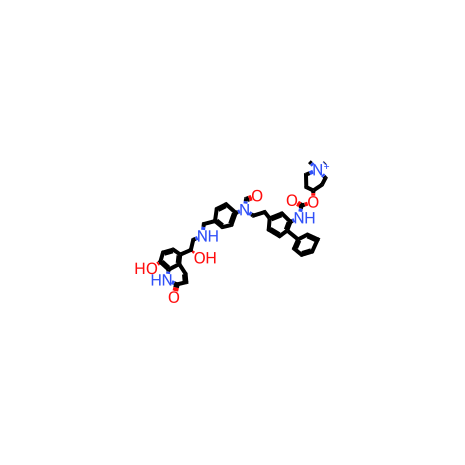 C[N+]1(C)CCC(OC(=O)Nc2cc(CCN(C=O)c3ccc(CNC[C@@H](O)c4ccc(O)c5[nH]c(=O)ccc45)cc3)ccc2-c2ccccc2)CC1